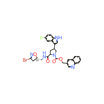 O=C(NC[C@@H]1CC(Br)=NO1)C1CC(c2c[nH]c3ccc(F)cc23)CN1C(=O)OCc1cnc2ccccc2c1